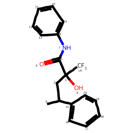 CC(CC(O)(C(=O)Nc1ccccc1)C(F)(F)F)c1ccccc1